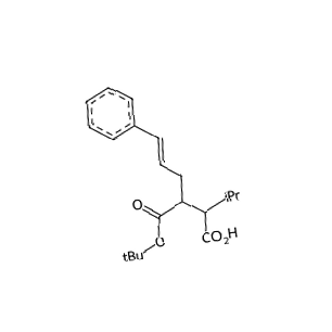 CC(C)C(C(=O)O)C(C/C=C/c1ccccc1)C(=O)OC(C)(C)C